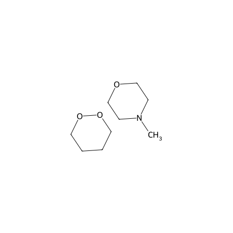 C1CCOOC1.CN1CCOCC1